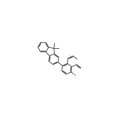 C=Cc1c(I)ccc(-c2ccc3c(c2)C(C)(C)c2ccccc2-3)c1/C=C\C